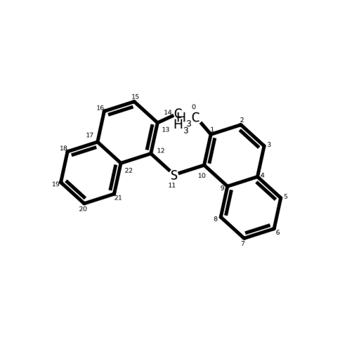 Cc1ccc2ccccc2c1Sc1c(C)ccc2ccccc12